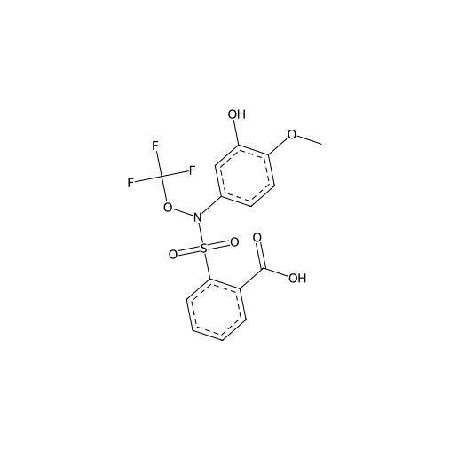 COc1ccc(N(OC(F)(F)F)S(=O)(=O)c2ccccc2C(=O)O)cc1O